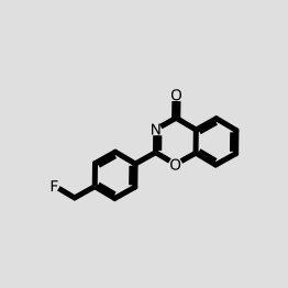 O=c1nc(-c2ccc(CF)cc2)oc2ccccc12